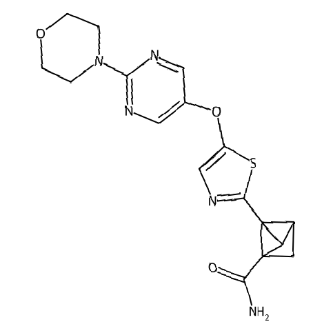 NC(=O)C12CC(C1)C2c1ncc(Oc2cnc(N3CCOCC3)nc2)s1